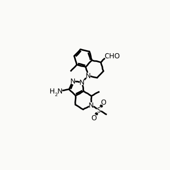 Cc1cccc2c1N(n1nc(N)c3c1C(C)N(S(C)(=O)=O)CC3)CCC2C=O